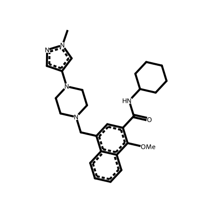 COc1c(C(=O)NC2CCCCC2)cc(CN2CCN(c3cnn(C)c3)CC2)c2ccccc12